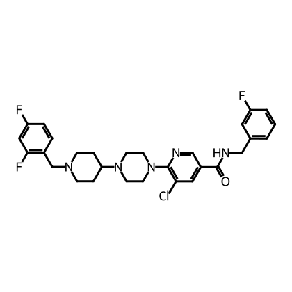 O=C(NCc1cccc(F)c1)c1cnc(N2CCN(C3CCN(Cc4ccc(F)cc4F)CC3)CC2)c(Cl)c1